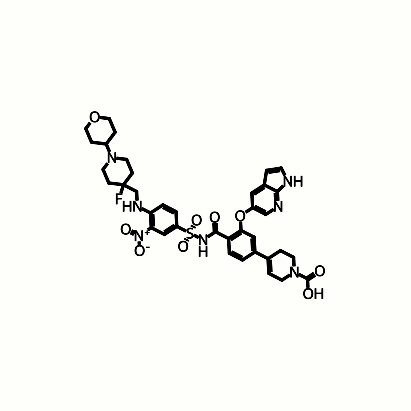 O=C(NS(=O)(=O)c1ccc(NCC2(F)CCN(C3CCOCC3)CC2)c([N+](=O)[O-])c1)c1ccc(C2=CCN(C(=O)O)CC2)cc1Oc1cnc2[nH]ccc2c1